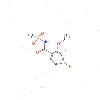 CCOc1cc(Br)ccc1C(=O)NS(C)(=O)=O